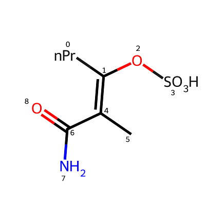 CCCC(OS(=O)(=O)O)=C(C)C(N)=O